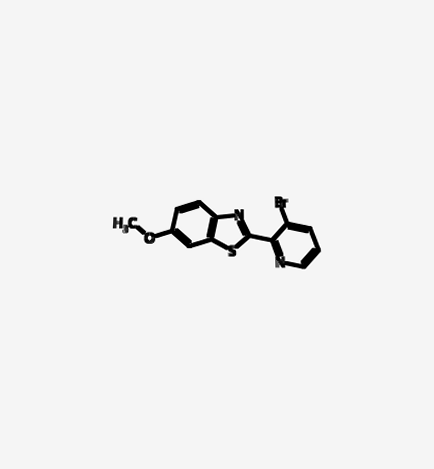 COc1ccc2nc(-c3ncccc3Br)sc2c1